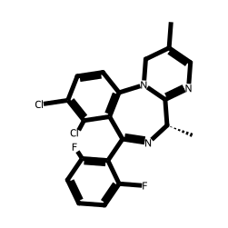 CC1=CN=C2[C@H](C)N=C(c3c(F)cccc3F)c3c(ccc(Cl)c3Cl)N2C1